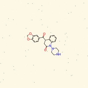 O=C(c1ccc2c(c1)OCO2)C1CC(=O)N(N2CCNCC2)c2ccccc21